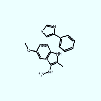 COc1ccc2[nH]c(C)c(NN)c2c1.c1ccc(-c2cscn2)cc1